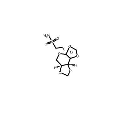 NS(=O)(=O)CC[C@]12OCO[C@H]1[C@@H]1OCO[C@@H]1CO2